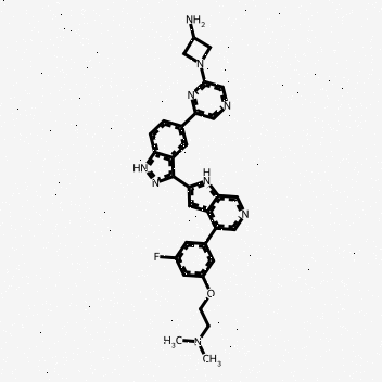 CN(C)CCOc1cc(F)cc(-c2cncc3[nH]c(-c4n[nH]c5ccc(-c6cncc(N7CC(N)C7)n6)cc45)cc23)c1